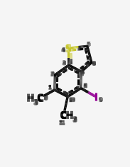 Cc1cc2sccc2c(I)c1C